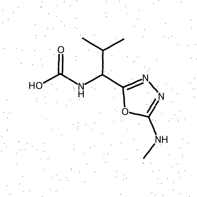 CNc1nnc(C(NC(=O)O)C(C)C)o1